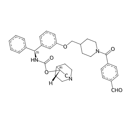 O=Cc1ccc(C(=O)N2CCC(COc3cccc([C@@H](NC(=O)O[C@H]4CN5CCC4CC5)c4ccccc4)c3)CC2)cc1